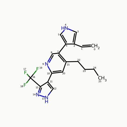 C=Cc1c[nH]cc1-c1cnc(-c2c[nH]nc2C(F)(F)F)cc1CCCC